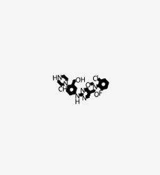 C[C@@H]1CNCCN1c1ccc(Nc2ncc3c(n2)OCN(c2c(F)cccc2Cl)C3=O)cc1CO